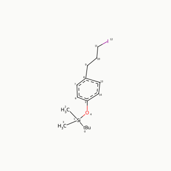 CC(C)(C)[Si](C)(C)Oc1ccc(CCCI)cc1